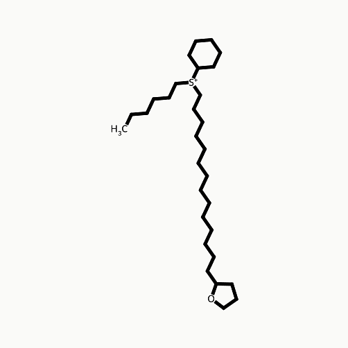 CCCCCC[S+](CCCCCCCCCCCCCCC1CCCO1)C1CCCCC1